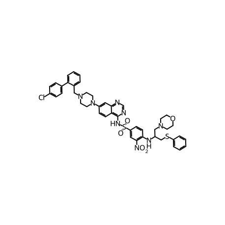 O=[N+]([O-])c1cc(S(=O)(=O)Nc2ncnc3cc(N4CCN(Cc5ccccc5-c5ccc(Cl)cc5)CC4)ccc23)ccc1NC(CSc1ccccc1)CN1CCOCC1